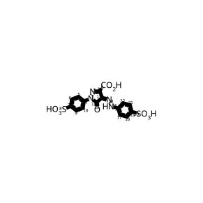 O=C(O)C1=NN(c2ccc(S(=O)(=O)O)cc2)C(=O)C1=NNc1ccc(S(=O)(=O)O)cc1